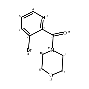 O=C(c1ncccc1Br)N1CCOCC1